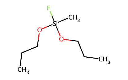 CCCO[Si](C)(F)OCCC